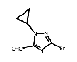 O=Cc1nc(Br)nn1C1CC1